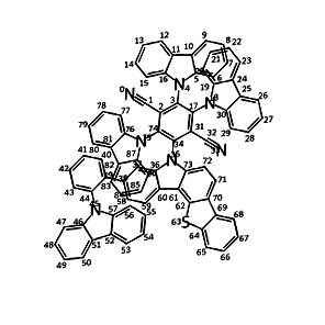 N#Cc1c(-n2c3ccccc3c3ccccc32)c(-n2c3ccccc3c3ccccc32)c(C#N)c(-n2c3cc(-c4ccccc4-n4c5ccccc5c5ccccc54)ccc3c3c4sc5ccccc5c4ccc32)c1-n1c2ccccc2c2ccccc21